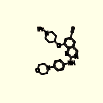 C#Cc1cc(OC2CCN(C(C)C)CC2)c2nc(Nc3ccc(N4CCOCC4)cc3)ncc2c1